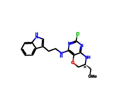 COC[C@@H]1COc2c(NCCc3c[nH]c4ccccc34)nc(Cl)nc2N1